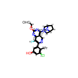 CC(C)c1c(Cl)cc(O)cc1-c1ncc2c(N3CC4CCC(C3)N4C(=O)O)nc(OCC=O)nc2c1F